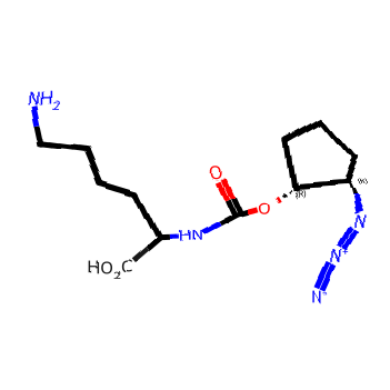 [N-]=[N+]=N[C@@H]1CCC[C@H]1OC(=O)NC(CCCCN)C(=O)O